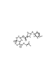 CC(C)=CC[C@H]1O[C@]1(C)C1CC(OC(=O)N2CC(Cc3ccc(C)nc3)C2)CCC12CO2